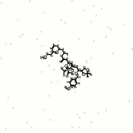 C=C(CC(C)CC1CC=CC(CCO)O1)CC(/C=C/CC(OCc1ccc(OC)cc1)C1COC(C)(C)O1)O[Si](C(C)C)(C(C)C)C(C)C